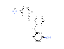 Nc1cccc(Cc2ccccc2Cc2cccc(N)c2)c1